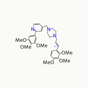 COc1cc(-c2cc(CN3CCN(C/C=C/c4ccc(OC)c(OC)c4OC)CC3)ccn2)cc(OC)c1OC